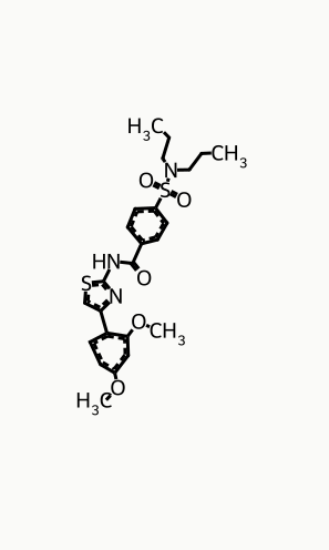 CCCN(CCC)S(=O)(=O)c1ccc(C(=O)Nc2nc(-c3ccc(OC)cc3OC)cs2)cc1